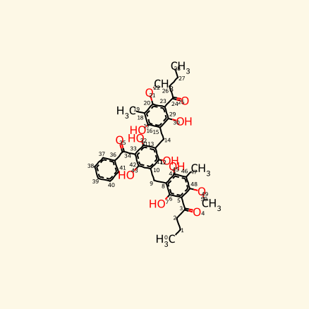 CCCC(=O)c1c(O)c(Cc2c(O)c(Cc3c(O)c(C)c(OC)c(C(=O)CCC)c3O)c(O)c(C(=O)c3ccccc3)c2O)c(O)c(C)c1OC